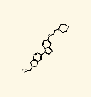 FC(F)(F)CN1Cc2cc(-c3cnc4cc(OCCN5CCOCC5)ccn34)cnc2C1